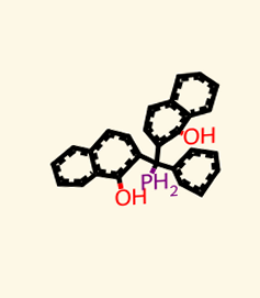 Oc1c(C(P)(c2ccccc2)c2ccc3ccccc3c2O)ccc2ccccc12